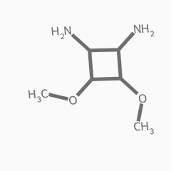 COC1C(N)C(N)C1OC